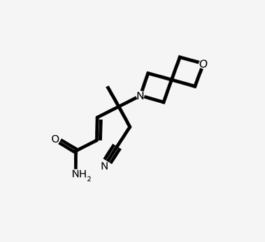 CC(C=CC(N)=O)(CC#N)N1CC2(COC2)C1